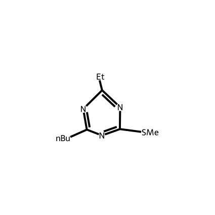 CCCCc1nc(CC)nc(SC)n1